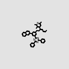 C/C=C\C=C(/CCc1cc(-c2ccc3ccccc3c2)cc(-c2nc(-c3ccccc3)nc(-c3ccccc3)n2)c1)c1cc(C)nc(C)c1C